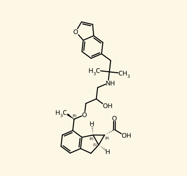 C[C@@H](OCC(O)CNC(C)(C)Cc1ccc2occc2c1)c1cccc2c1[C@@H]1[C@H](C2)[C@H]1C(=O)O